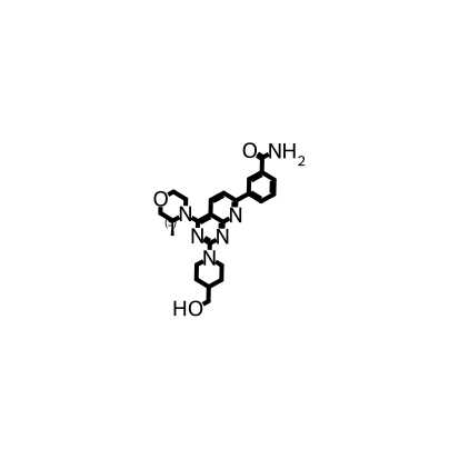 C[C@H]1COCCN1c1nc(N2CCC(CO)CC2)nc2nc(-c3cccc(C(N)=O)c3)ccc12